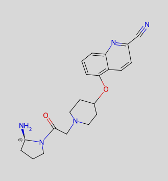 N#Cc1ccc2c(OC3CCN(CC(=O)N4CCC[C@H]4N)CC3)cccc2n1